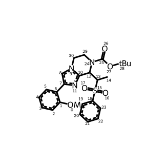 COc1ccccc1-c1cn2c(n1)C(C(C)S(=O)(=O)c1ccccc1)N(C(=O)OC(C)(C)C)CC2